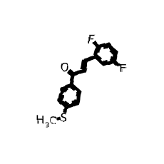 CSc1ccc(C(=O)/C=C/c2cc(F)ccc2F)cc1